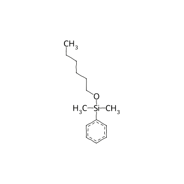 CCCCCCO[Si](C)(C)c1ccccc1